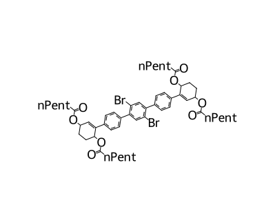 CCCCCC(=O)OC1C=C(c2ccc(-c3cc(Br)c(-c4ccc(C5=CC(OC(=O)CCCCC)CCC5OC(=O)CCCCC)cc4)cc3Br)cc2)C(OC(=O)CCCCC)CC1